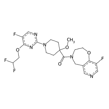 COC1(C(=O)N2CCOc3c(F)cncc3C2)CCN(c2ncc(F)c(OCC(F)F)n2)CC1